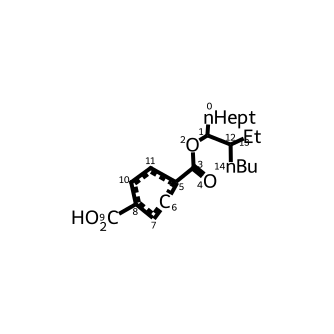 CCCCCCCC(OC(=O)c1ccc(C(=O)O)cc1)C(CC)CCCC